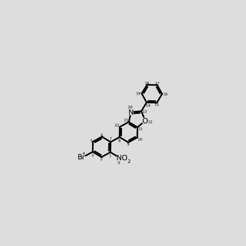 O=[N+]([O-])c1cc(Br)ccc1-c1ccc2oc(-c3ccccc3)nc2c1